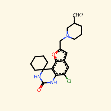 O=CC1CCCN(Cc2cc3cc(Cl)c4c(c3o2)C2(CCCCC2)NC(=O)N4)C1